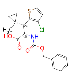 CC1([C@H](c2sccc2Cl)[C@H](NC(=O)OCc2ccccc2)C(=O)O)CC1